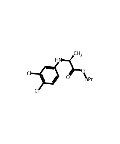 CCCOC(=O)[C@H](C)Nc1ccc(Cl)c(Cl)c1